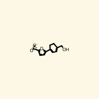 O=[N+]([O-])c1ccc(C2=CC=C(CO)CC2)o1